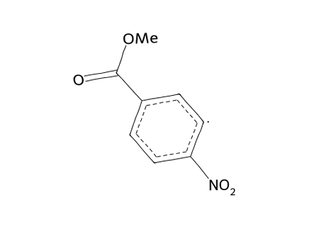 COC(=O)c1c[c]c([N+](=O)[O-])cc1